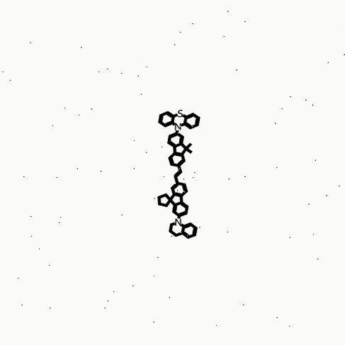 CC1(C)c2cc(/C=C/c3ccc4c(c3)C3(CCCC3)c3cc(N5CCCc6ccccc65)ccc3-4)ccc2-c2ccc(N3c4ccccc4Sc4ccccc43)cc21